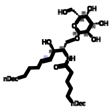 CCCCCCCCCCCCC/C=C/[C@@H](O)[C@H](CO[C@@H]1O[C@H](CO)[C@H](O)[C@H](O)[C@H]1O)NC(=O)CCCCCCCCCCCCCC